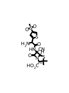 CC1(C)S[C@H]2N(C(=O)[C@]2(C#N)NC(=O)C(N)c2cc(S(C)(=O)=O)cs2)[C@H]1C(=O)O